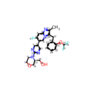 Cc1nc2cc(F)c(-c3cnc(N4CCOC[C@@H]4CO)nc3)cn2c1Cc1ccccc1OC(F)F